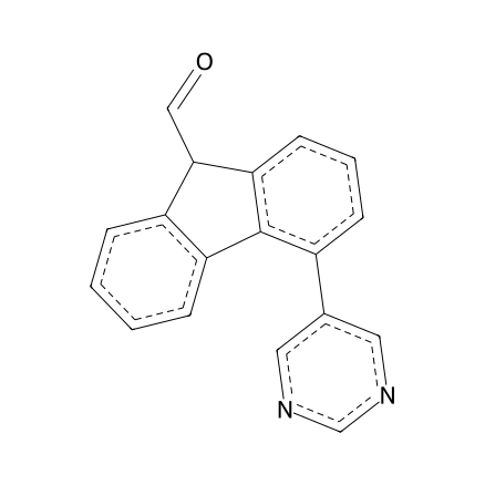 O=CC1c2ccccc2-c2c(-c3cncnc3)cccc21